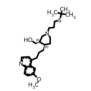 COc1ccc2nccc(CCC[C@@H]3CCN(CCCSC(C)(C)C)C[C@@H]3CO)c2c1